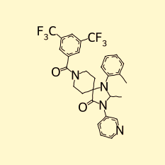 Cc1ccccc1N1C(C)N(c2cccnc2)C(=O)C12CCN(C(=O)c1cc(C(F)(F)F)cc(C(F)(F)F)c1)CC2